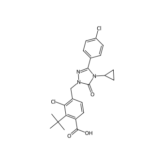 CC(C)(C)c1c(C(=O)O)ccc(Cn2nc(-c3ccc(Cl)cc3)n(C3CC3)c2=O)c1Cl